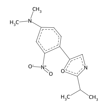 CC(C)c1ncc(-c2ccc(N(C)C)cc2[N+](=O)[O-])o1